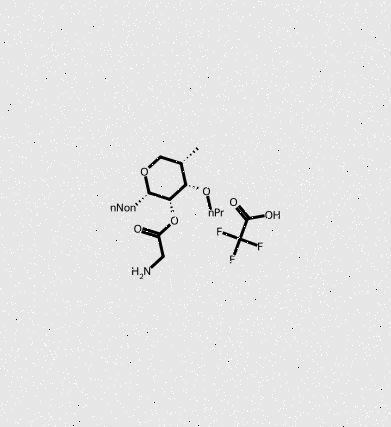 CCCCCCCCC[C@@H]1OC[C@H](C)[C@H](OCCC)[C@@H]1OC(=O)CN.O=C(O)C(F)(F)F